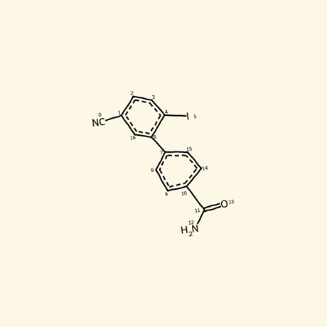 N#Cc1ccc(I)c(-c2ccc(C(N)=O)cc2)c1